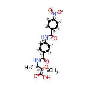 CO[C@@H](C(=O)O)[C@H](C)NC(=O)c1ccc(NC(=O)c2ccc([N+](=O)[O-])cc2)cc1